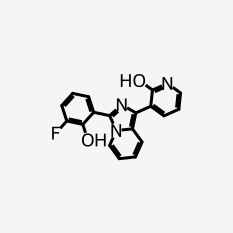 Oc1ncccc1-c1nc(-c2cccc(F)c2O)n2ccccc12